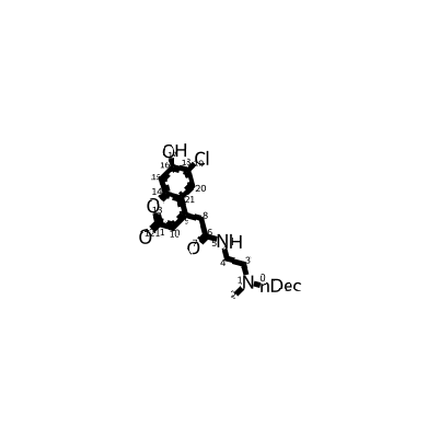 CCCCCCCCCCN(C)CCNC(=O)Cc1cc(=O)oc2cc(O)c(Cl)cc12